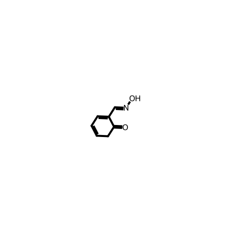 O=C1CC=CC=C1C=NO